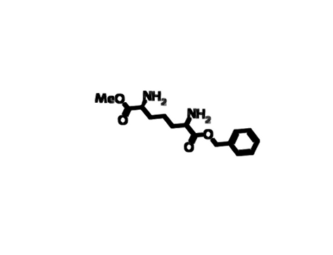 COC(=O)[C@@H](N)CCCC(N)C(=O)OCc1ccccc1